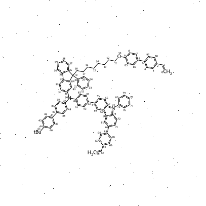 C=Cc1ccc(-c2ccc(OCCCCCCCCC3(c4ccccc4)c4ccccc4-c4ccc(N(c5ccc(-c6ccc(C(C)(C)C)cc6)cc5)c5ccc(-c6ccc7c(c6)c6cc(-c8ccc(C=C)cc8)ccc6n7-c6ccccc6)cc5)cc43)cc2)cc1